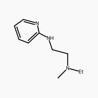 CCN(C)CCNc1ccccn1